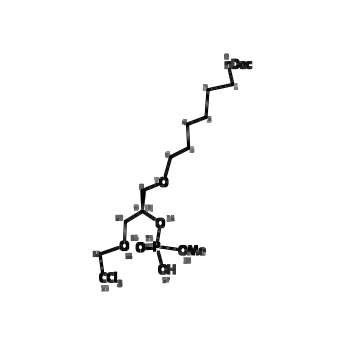 CCCCCCCCCCCCCCCCOC[C@H](COCC(Cl)(Cl)Cl)OP(=O)(O)OC